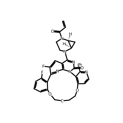 C=CC(=O)N1CCN(c2nc(=O)n3c4nc(c(F)cc24)-c2c(F)cccc2OCCCCOc2ccnc(C(C)C)c2-3)[C@@H]2C[C@@H]21